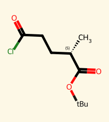 C[C@@H](CCC(=O)Cl)C(=O)OC(C)(C)C